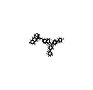 O=Cc1cc2ccccc2cc1C(=O)C=Cc1ccc2cc(N(c3ccc(-c4ccccc4)cc3)c3ccc(-c4ccccc4)cc3)ccc2c1